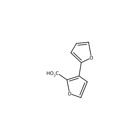 O=C(O)c1occc1-c1ccco1